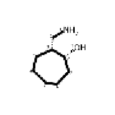 NC[C@H]1CCCCC[C@H]1O